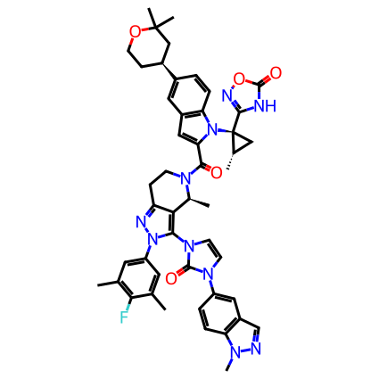 Cc1cc(-n2nc3c(c2-n2ccn(-c4ccc5c(cnn5C)c4)c2=O)[C@H](C)N(C(=O)c2cc4cc([C@H]5CCOC(C)(C)C5)ccc4n2[C@@]2(c4noc(=O)[nH]4)C[C@@H]2C)CC3)cc(C)c1F